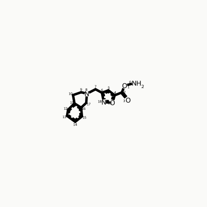 NOC(=O)c1cc(CN2CCc3ccccc3C2)no1